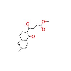 COC(=O)CCC(=O)C1CCc2cc(C)ccc2C1=O